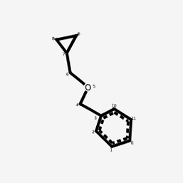 c1ccc(COCC2CC2)cc1